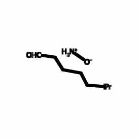 CC(C)CCCCC=O.[NH3+][O-]